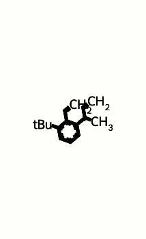 C=C[C](C)c1cccc(C(C)(C)C)c1C=C